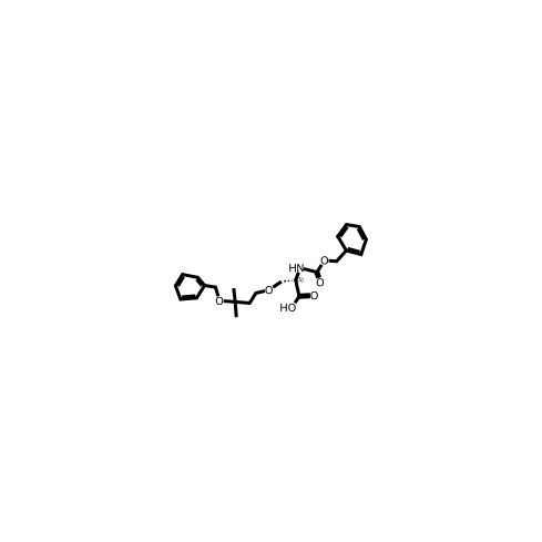 CC(C)(CCOC[C@H](NC(=O)OCc1ccccc1)C(=O)O)OCc1ccccc1